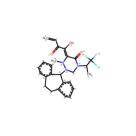 C=CC(=O)/C(O)=C1/C(=O)N(C(C)C(F)(F)F)CN(C2c3ccccc3CCc3ccccc32)N1C